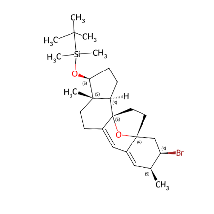 C[C@H]1C=C2C=C3CC[C@]4(C)[C@@H](O[Si](C)(C)C(C)(C)C)CC[C@H]4[C@@]34CC[C@]2(C[C@H]1Br)O4